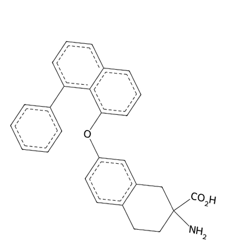 NC1(C(=O)O)CCc2ccc(Oc3cccc4cccc(-c5ccccc5)c34)cc2C1